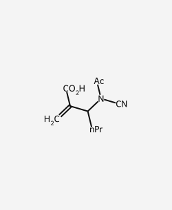 C=C(C(=O)O)C(CCC)N(C#N)C(C)=O